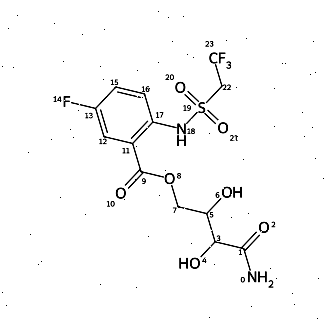 NC(=O)C(O)C(O)COC(=O)c1cc(F)ccc1NS(=O)(=O)CC(F)(F)F